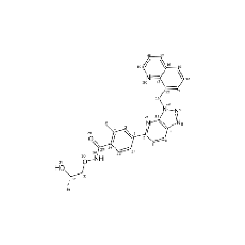 Cc1cc(-c2ccc3nnn(Cc4cccc5cccnc45)c3n2)ccc1C(=O)NOC[C@H](C)O